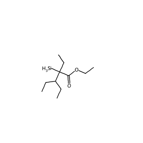 CCOC(=O)C([SiH3])(CC)C(CC)CC